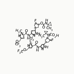 Cn1nc(COC(F)(F)F)cc1C(=O)Nc1cc([C@H]2C[C@@H](F)[C@@H](OC(=O)NC3(C)CC3)C2)[nH]n1.Cn1nc(COC(F)(F)F)cc1C(=O)Nc1cc([C@H]2C[C@@H](N(C(=O)O)C3(C)CC3)[C@@H](F)C2)[nH]n1